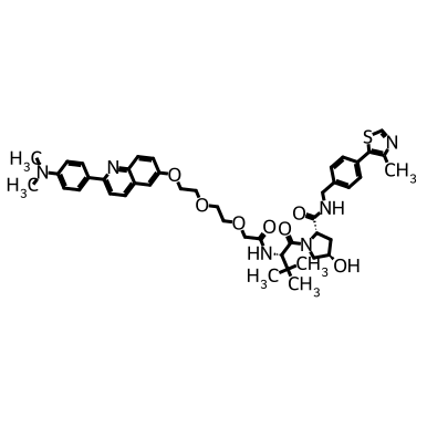 Cc1ncsc1-c1ccc(CNC(=O)[C@@H]2C[C@@H](O)CN2C(=O)[C@@H](NC(=O)COCCOCCOc2ccc3nc(-c4ccc(N(C)C)cc4)ccc3c2)C(C)(C)C)cc1